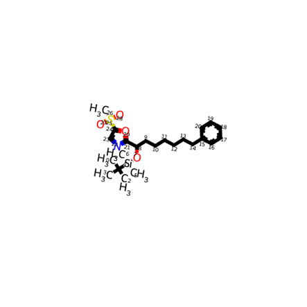 CC(C)(C)[Si](C)(C)OC(CCCCCCc1ccccc1)c1ncc(S(C)(=O)=O)o1